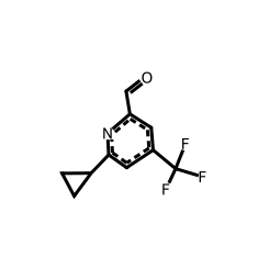 O=Cc1cc(C(F)(F)F)cc(C2CC2)n1